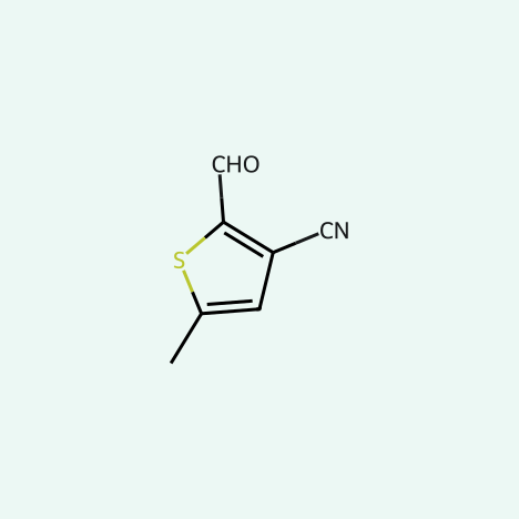 Cc1cc(C#N)c(C=O)s1